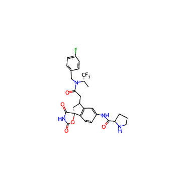 C[C@H](N(Cc1ccc(F)cc1)C(=O)CC1C[C@@]2(OC(=O)NC2=O)c2ccc(NC(=O)C3CCCN3)cc21)C(F)(F)F